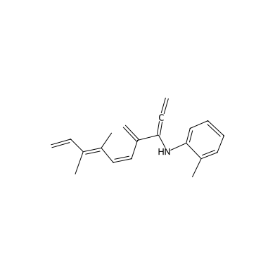 C=C=C(Nc1ccccc1C)C(=C)/C=C\C(C)=C(/C)C=C